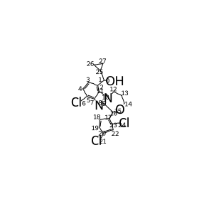 OC(c1ccc(Cl)c2nc3n(c12)CCCOC3c1ccc(Cl)cc1Cl)C1CC1